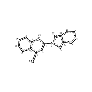 O=c1cc(-n2cc3ccccc3n2)sc2ccccc12